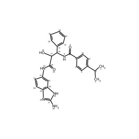 CC(C)c1ccc(C(=O)NC(c2ccccc2)C(O)C(=O)Nc2ccc3nc(N)[nH]c3c2)cc1